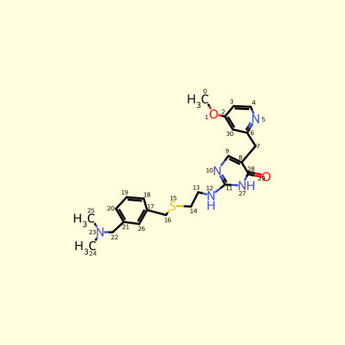 COc1ccnc(Cc2cnc(NCCSCc3cccc(CN(C)C)c3)[nH]c2=O)c1